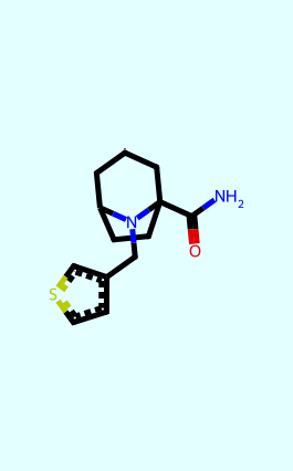 NC(=O)C12C[CH]CC(CC1)N2Cc1ccsc1